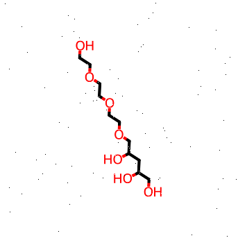 OCCOCCOCCOCC(O)CC(O)CO